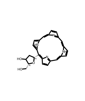 OC[C@H]1O[C@@H](c2c3nc(cc4ccc(cc5nc(cc6ccc2[nH]6)C=C5)[nH]4)C=C3)CC1O